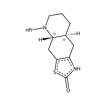 CCCN1CCC[C@H]2Cc3[nH]c(=O)sc3C[C@@H]21